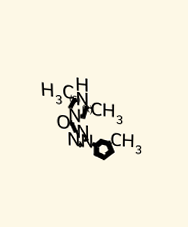 Cc1cccc(-n2cnc(C(=O)N3C[C@@H](C)N[C@@H](C)C3)n2)c1